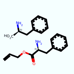 C=CCOC(=O)[C@@H](N)Cc1ccccc1.N[C@@H](Cc1ccccc1)C(=O)O